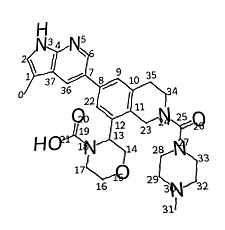 Cc1c[nH]c2ncc(-c3cc4c(c(C5COCCN5C(=O)O)c3)CN(C(=O)N3CCN(C)CC3)CC4)cc12